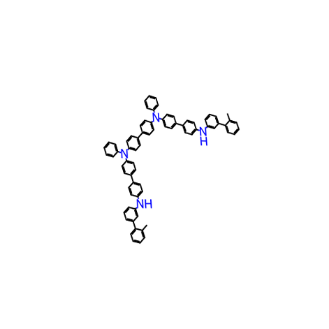 Cc1ccccc1-c1cccc(Nc2ccc(-c3ccc(N(c4ccccc4)c4ccc(-c5ccc(N(c6ccccc6)c6ccc(-c7ccc(Nc8cccc(-c9ccccc9C)c8)cc7)cc6)cc5)cc4)cc3)cc2)c1